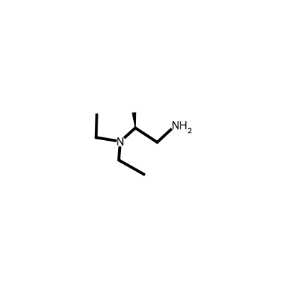 CCN(CC)[C@@H](C)CN